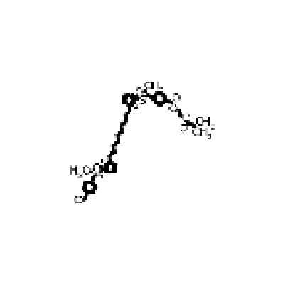 C=C(C)C(=O)OCCOC(=O)c1ccc(CSC2(OCC)SC3(CCCCCCCCCCC45C=CC(C4)C(OCC)(SCc4ccc(C=O)cc4)S5)C=CC2C3)cc1